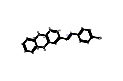 Clc1ccc(/C=C/c2cc3c(nn2)Oc2ccccc2O3)cc1